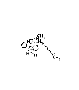 COCCCCCCCC[N+](C)(C)Cc1cnc(C(O)(c2ccccc2)C2CCCCC2)o1.O=CO